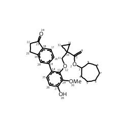 C=C(OC1CCCCCC1)C1(COc2c(-c3ccc4c(c3)CCC4=O)ccc(O)c2OC)CC1